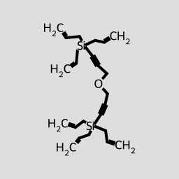 C=CC[Si](C#CCOCC#C[Si](CC=C)(CC=C)CC=C)(CC=C)CC=C